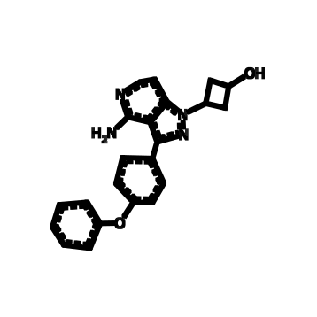 Nc1nccc2c1c(-c1ccc(Oc3ccccc3)cc1)nn2C1CC(O)C1